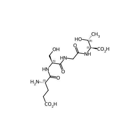 C[C@@H](O)[C@H](NC(=O)CNC(=O)[C@H](CO)NC(=O)[C@@H](N)CCC(=O)O)C(=O)O